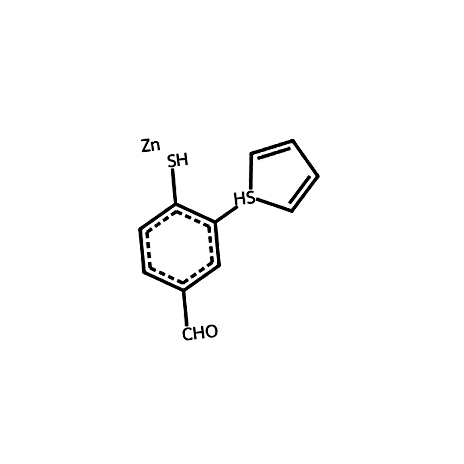 O=Cc1ccc(S)c([SH]2C=CC=C2)c1.[Zn]